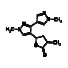 C=C1CC(c2cn(C)nc2-c2cnn(C)c2)OC1=O